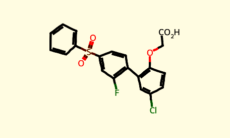 O=C(O)COc1ccc(Cl)cc1-c1ccc(S(=O)(=O)c2ccccc2)cc1F